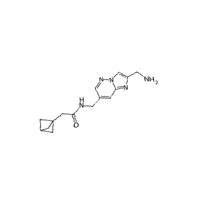 NCc1cn2ncc(CNC(=O)CC34CC(C3)C4)cc2n1